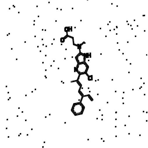 C=C/C(=C\C=C(/C)c1nc2cc(N(C)CCC(=O)O)[nH]c2cc1Cl)c1ccccc1